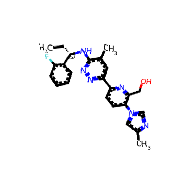 CC[C@H](Nc1nnc(-c2ccc(-n3cnc(C)c3)c(CO)n2)cc1C)c1ccccc1F